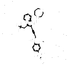 COc1cc(S(C)(=O)=O)ccc1NCC#Cc1nc2c([C@H]3CCOCCN3)cccn2c1CC(F)(F)F